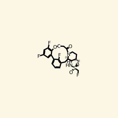 O=C1CCOc2c(F)cc(F)cc2-c2cccc(c2F)C[C@H]2[C@@H](NS(=O)(=O)CF)[C@@H](F)CCN12